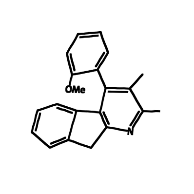 COc1ccccc1-c1c(C)c(C)nc2c1-c1ccccc1C2